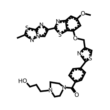 COc1cc(OCc2csc(-c3ccc(C(=O)N4CCN(CCCO)CC4)cc3)n2)c2sc(-c3cn4nc(C)sc4n3)nc2c1